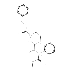 CCC(=O)N(c1ccccc1)C(C)C1CCCN(C(=O)OCc2ccccc2)C1